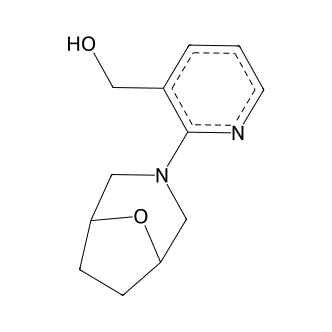 OCc1cccnc1N1CC2CCC(C1)O2